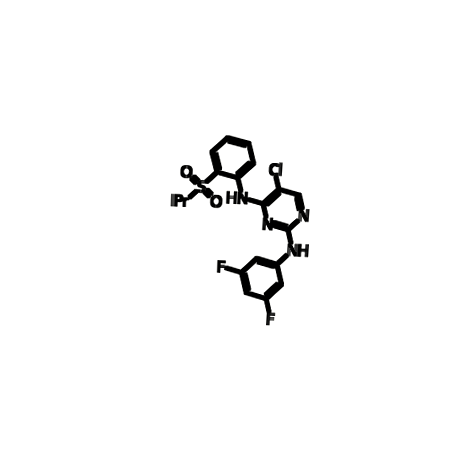 CC(C)S(=O)(=O)c1ccccc1Nc1nc(Nc2cc(F)cc(F)c2)ncc1Cl